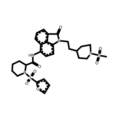 CS(=O)(=O)N1CCC(CCN2C(=O)c3cccc4c(NC(=O)C5CCCCN5S(=O)(=O)c5ccco5)ccc2c34)CC1